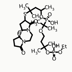 CCOP(=O)(O)OC(C)(C)CCOC(C)(C)P(=O)(O)OC(C)CC(C)(C)SC1CC(=O)N(CCN2C(=O)CCC2=O)C1=O